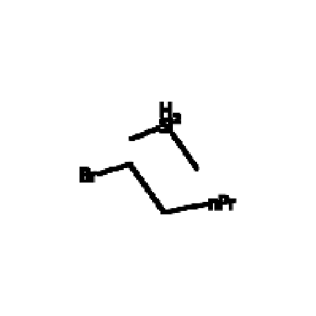 CCCCCBr.C[SiH2]C